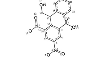 O=C(O)c1cc([N+](=O)[O-])cc([N+](=O)[O-])c1C(CO)c1ccccc1